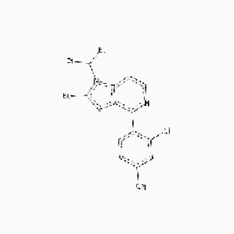 CCc1nc2c(-c3ccc(C#N)cc3Cl)nccc2n1C(CC)CC